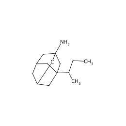 CCC(C)C12CC3CC(CC(N)(C3)C1)C2